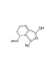 COc1cccc2c(O)oc(C#N)c12